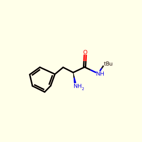 CC(C)(C)NC(=O)[C@@H](N)Cc1ccccc1